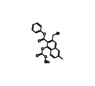 Cc1ccc2c(OC(=O)OC(C)(C)C)c(C(=O)Oc3ccccc3)c(CBr)cc2c1